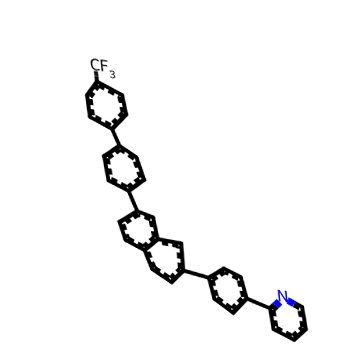 FC(F)(F)c1ccc(-c2ccc(-c3ccc4ccc(-c5ccc(-c6ccccn6)cc5)cc4c3)cc2)cc1